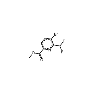 COC(=O)c1ccc(Br)c(C(F)F)n1